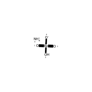 [NH4+].[O]=[Re](=[O])([O-])[OH]